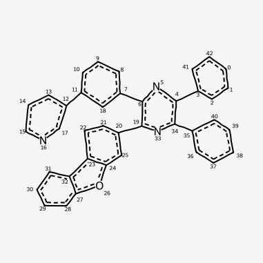 c1ccc(-c2nc(-c3cccc(-c4cccnc4)c3)c(-c3ccc4c(c3)oc3ccccc34)nc2-c2ccccc2)cc1